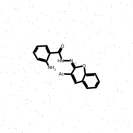 CC(=O)c1cc2ccccc2o/c1=N/NC(=O)c1ccccc1N